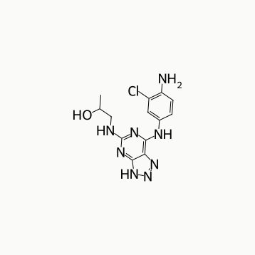 CC(O)CNc1nc(Nc2ccc(N)c(Cl)c2)c2nn[nH]c2n1